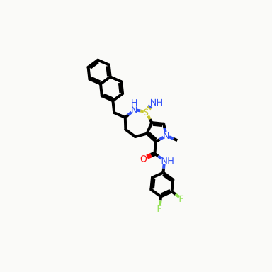 Cn1cc2c(c1C(=O)Nc1ccc(F)c(F)c1)CCC(Cc1ccc3ccccc3c1)NS2=N